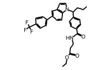 CCCC(c1ccc(C(=O)NCCC(=O)OCC)cc1)n1ccc2cc(-c3ccc(C(F)(F)F)cc3)ccc21